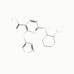 Cc1cc(Nc2nc(NC3CCCCC3N)c(F)cc2C(N)=O)cs1